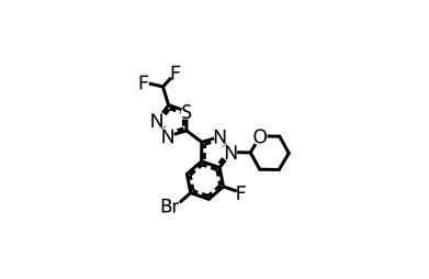 Fc1cc(Br)cc2c(-c3nnc(C(F)F)s3)nn(C3CCCCO3)c12